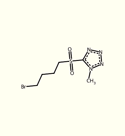 Cn1nnnc1S(=O)(=O)CCCCBr